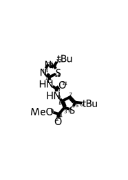 COC(=O)c1sc(C(C)(C)C)cc1NC(=O)Nc1nnc(C(C)(C)C)s1